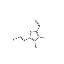 Cc1c(C=O)sc(C=CF)c1Br